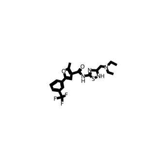 CCN(CC)CC1N=C(NC(=O)c2cc(-c3cccc(C(F)(F)F)c3)oc2C)SN1